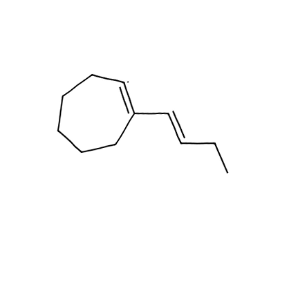 CCC=CC1=[C]CCCCC1